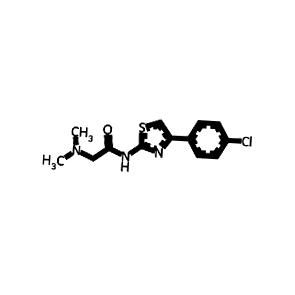 CN(C)CC(=O)Nc1nc(-c2ccc(Cl)cc2)cs1